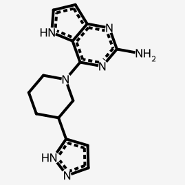 Nc1nc(N2CCCC(c3ccn[nH]3)C2)c2[nH]ccc2n1